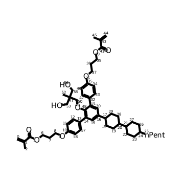 C=C(C)C(=O)OCCCOc1ccc(-c2cc(C3CCC(C4CCC(CCCCC)CC4)CC3)cc(-c3ccc(OCCCOC(=O)C(=C)C)cc3)c2OCC(C)(CO)CO)cc1